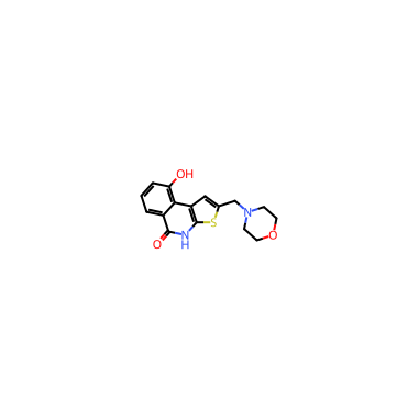 O=c1[nH]c2sc(CN3CCOCC3)cc2c2c(O)cccc12